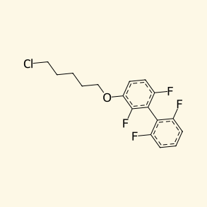 Fc1cccc(F)c1-c1c(F)ccc(OCCCCCCl)c1F